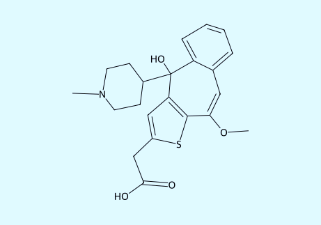 COC1=Cc2ccccc2C(O)(C2CCN(C)CC2)c2cc(CC(=O)O)sc21